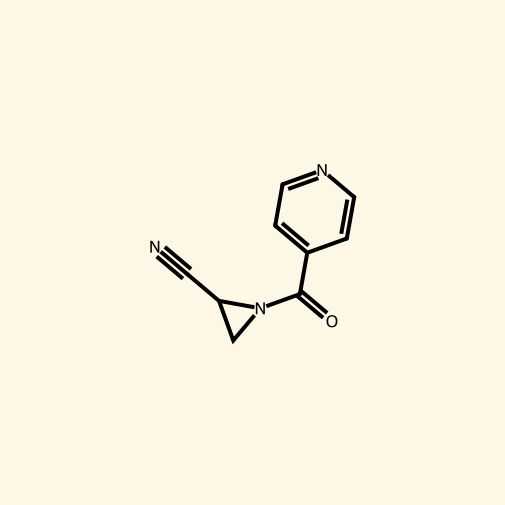 N#CC1CN1C(=O)c1ccncc1